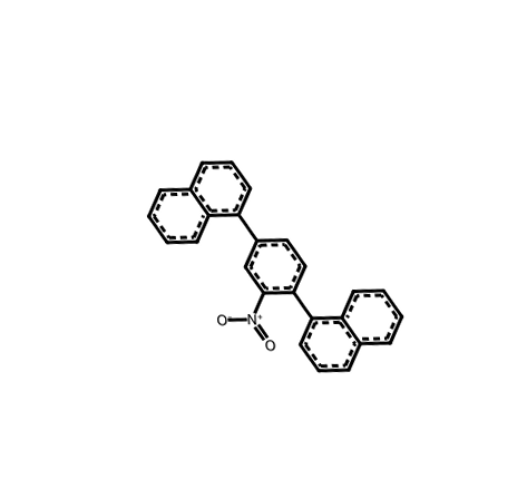 O=[N+]([O-])c1cc(-c2cccc3ccccc23)ccc1-c1cccc2ccccc12